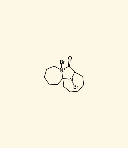 O=C1C2CCCCCC3(CCCCC[N+]13Br)N2Br